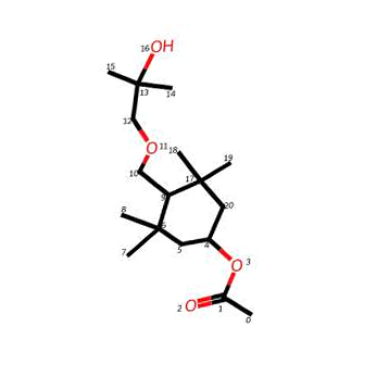 CC(=O)OC1CC(C)(C)C(COCC(C)(C)O)C(C)(C)C1